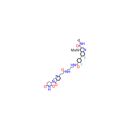 CNc1c(C(=O)NC2CC2)cnc2cc(F)c(-c3ccc(C(=O)NCCCCNC(=O)CCc4ccc5c(n4)CN(C4CCC(=O)NC4=O)C5=O)c(F)c3)cc12